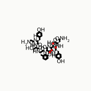 C[C@@H](O)[C@H](NC(=O)[C@H](Cc1ccc(O)cc1)NC(=O)CN)C(=O)N[C@@H](Cc1ccccc1)C(=O)N[C@H](C(=O)N[C@H](C(=O)N[C@@H](Cc1ccc(O)cc1)C(=O)N[C@@H](CC(N)=O)C(=O)O)[C@@H](C)O)[C@@H](C)O